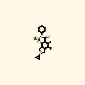 CCCCOc1c2c(c(F)c(C)c1C(=O)Oc1ccccc1)CN(C1CC1)C2